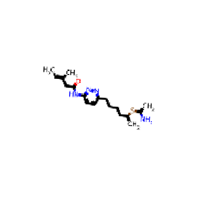 C=C(N)SC(=C)CCCCc1ccc(NC(=O)C/C(C)=C/C)nn1